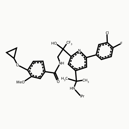 COc1cc(C(=O)NCC(O)(c2cc(C(C)(C)NC(C)C)cc(-c3ccc(F)c(Cl)c3)n2)C(F)(F)F)ccc1OC1CC1